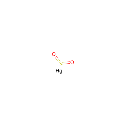 O=S=O.[Hg]